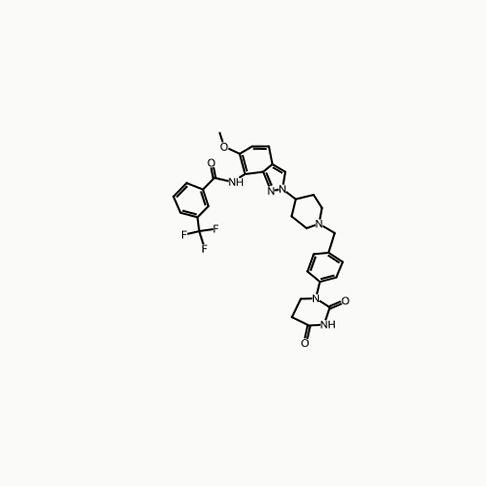 COc1ccc2cn(C3CCN(Cc4ccc(N5CCC(=O)NC5=O)cc4)CC3)nc2c1NC(=O)c1cccc(C(F)(F)F)c1